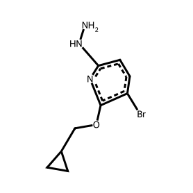 NNc1ccc(Br)c(OCC2CC2)n1